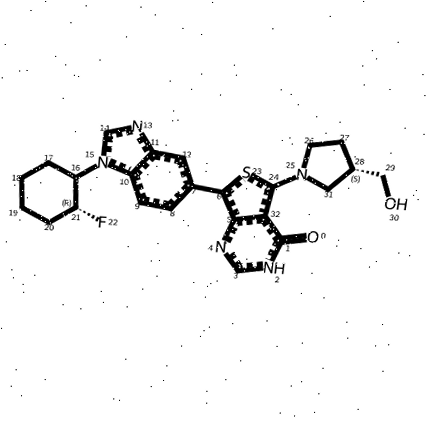 O=c1[nH]cnc2c(-c3ccc4c(c3)ncn4C3CCCC[C@H]3F)sc(N3CC[C@H](CO)C3)c12